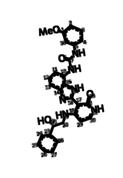 COc1cccc(NC(=O)Nc2cccc3nc(-c4c(NC[C@@H](O)c5ccccc5)cc[nH]c4=O)[nH]c23)c1